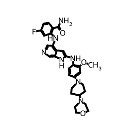 COc1cc(N2CCC(N3CCOCC3)CC2)ccc1Nc1cc2c(Nc3cc(F)ccc3C(N)=O)cncc2[nH]1